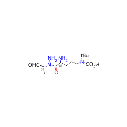 C[C@@H](C=O)N(N)C(=O)[C@@H](N)CCCN(C(=O)O)C(C)(C)C